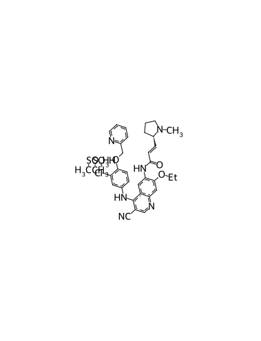 CCOc1cc2ncc(C#N)c(Nc3ccc(OCc4ccccn4)c(Cl)c3)c2cc1NC(=O)C=C[C@H]1CCCN1C.CS(=O)(=O)O.CS(=O)(=O)O